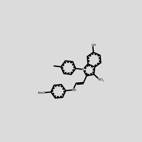 COc1ccc(NC=Cc2c([N+](=O)[O-])c3ccc(O)cc3n2-c2ccc(C)cc2)cc1